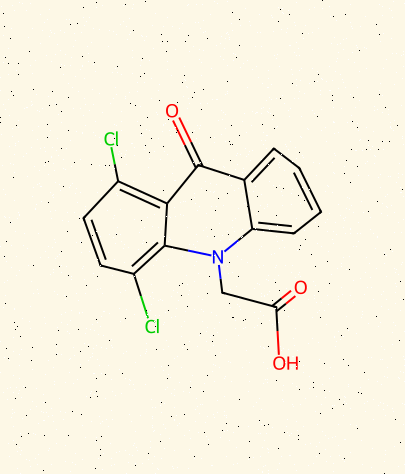 O=C(O)Cn1c2ccccc2c(=O)c2c(Cl)ccc(Cl)c21